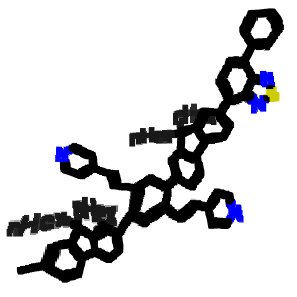 CCCCCCC1(CCCCCC)c2cc(C)ccc2-c2ccc(-c3cc(/C=C/c4ccncc4)c(-c4ccc5c(c4)C(CCCCCC)(CCCCCC)c4cc(-c6ccc(-c7ccccc7)c7nsnc67)ccc4-5)cc3/C=C/c3ccncc3)cc21